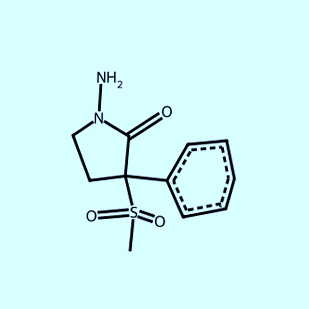 CS(=O)(=O)C1(c2ccccc2)CCN(N)C1=O